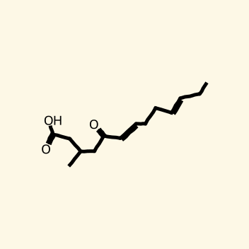 CCC=CCCC=CC(=O)CC(C)CC(=O)O